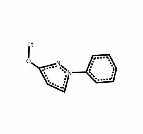 CCOc1ccn(-c2ccccc2)n1